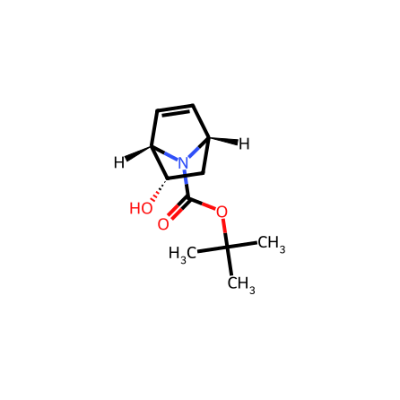 CC(C)(C)OC(=O)N1[C@@H]2C=C[C@H]1[C@@H](O)C2